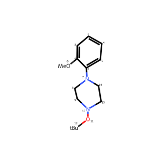 COc1ccccc1N1CCN(OC(C)(C)C)CC1